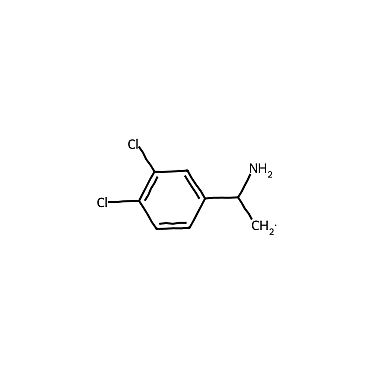 [CH2]C(N)c1ccc(Cl)c(Cl)c1